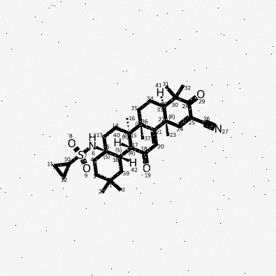 CC1(C)CC[C@]2(NS(=O)(=O)C3CC3)CC[C@]3(C)[C@H](C(=O)C=C4[C@@]5(C)C=C(C#N)C(=O)C(C)(C)[C@@H]5CC[C@]43C)[C@@H]2C1